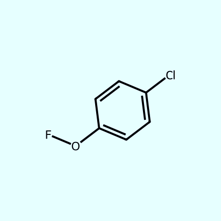 FOc1ccc(Cl)cc1